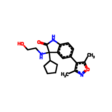 Cc1noc(C)c1-c1ccc2c(c1)C(NCCO)(C1CCCC1)C(=O)N2